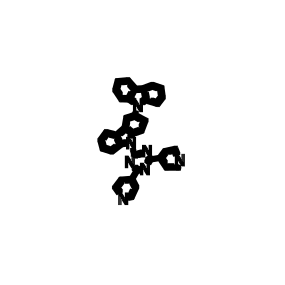 c1ccc2c(c1)c1ccccc1n2-c1ccc2c(c1)c1ccccc1n2-c1nc(-c2ccncc2)nc(-c2ccncc2)n1